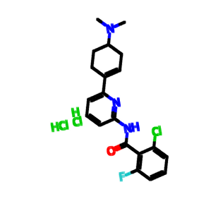 CN(C)C1CC=C(c2cccc(NC(=O)c3c(F)cccc3Cl)n2)CC1.Cl.Cl